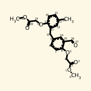 COC(=O)COc1ccc(Cc2cc(C)ccc2OCC(=O)OC)cc1C=O